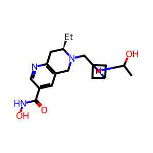 CC[C@@H]1Cc2ncc(C(=O)NO)cc2CN1CC12CC(C1)N(C(C)O)C2